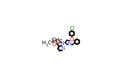 CC(C)OC(=O)c1cccnc1N(C)[C@H]1CCN(Cc2ccccc2Oc2ccc(Cl)cc2)C1